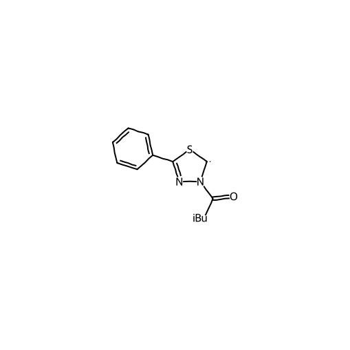 CCC(C)C(=O)N1[CH]SC(c2ccccc2)=N1